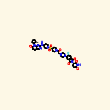 C[C@H]1CCCC1n1c(=O)ccc2cnc(NC3CCN(S(=O)(=O)C4CCN(C(=O)CN5CCN(c6cc7c(cc6F)C(=O)N(C6CCC(=O)NC6=O)C7=O)CC5)CC4)CC3)nc21